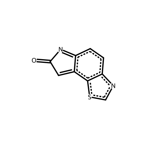 O=C1C=c2c(ccc3ncsc23)=N1